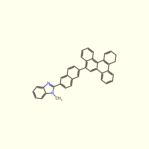 Cn1c(-c2ccc3cc(-c4cc5c6ccccc6c6c(c5c5ccccc45)C=CCC6)ccc3c2)nc2ccccc21